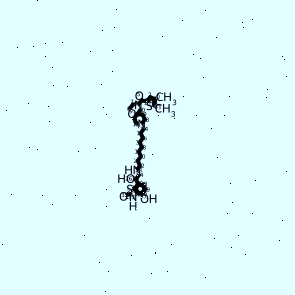 Cc1cc(C(=O)N2CCOC3(CCN(CCCCCCCCCNC[C@H](O)c4ccc(O)c5[nH]c(=O)sc45)CC3)C2)sc1C